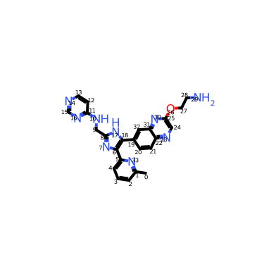 Cc1cccc(-c2nc(CNc3ccncn3)[nH]c2-c2ccc3ncc(OCCN)nc3c2)n1